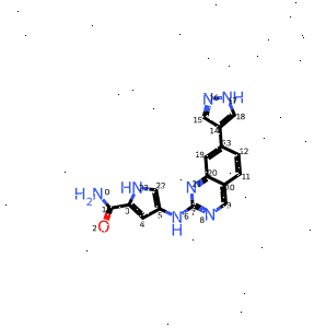 NC(=O)c1cc(Nc2ncc3ccc(-c4cn[nH]c4)cc3n2)c[nH]1